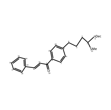 CCCCCCCCCCC(CCCc1ccc(C(=O)C=Cc2ccccc2)cc1)SC